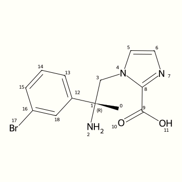 C[C@](N)(Cn1ccnc1C(=O)O)c1cccc(Br)c1